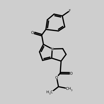 CC(C)OC(=O)C1CCn2c(C(=O)c3ccc(F)cc3)ccc21